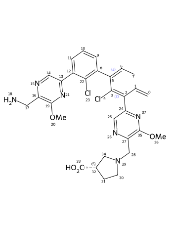 C=C/C(=C(Cl)\C(=C/C)c1cccc(-c2cnc(CN)c(OC)n2)c1Cl)c1cnc(CN2CC[C@H](C(=O)O)C2)c(OC)n1